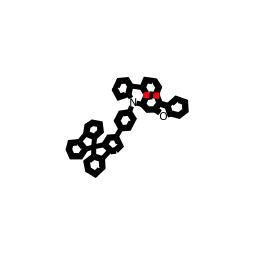 c1ccc(-c2ccccc2N(c2ccc(-c3ccc4c(c3)C3(c5ccccc5-c5ccccc53)c3ccccc3-4)cc2)c2ccc3c(c2)oc2ccccc23)cc1